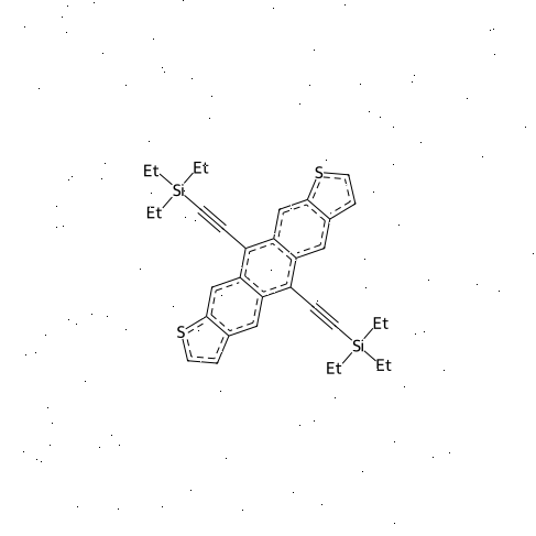 CC[Si](C#Cc1c2cc3ccsc3cc2c(C#C[Si](CC)(CC)CC)c2cc3sccc3cc12)(CC)CC